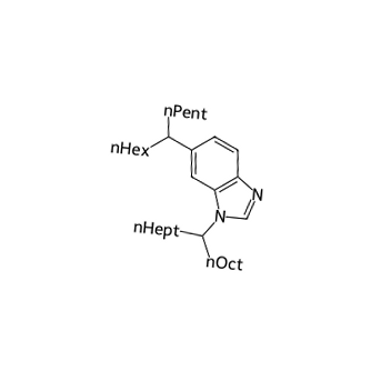 CCCCCCCCC(CCCCCCC)n1cnc2ccc(C(CCCCC)CCCCCC)cc21